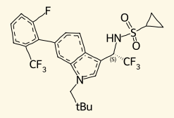 CC(C)(C)Cn1cc([C@H](NS(=O)(=O)C2CC2)C(F)(F)F)c2ccc(-c3c(F)cccc3C(F)(F)F)cc21